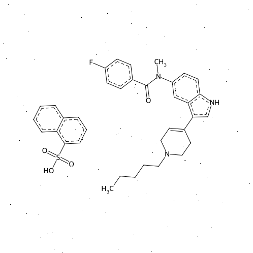 CCCCCN1CC=C(c2c[nH]c3ccc(N(C)C(=O)c4ccc(F)cc4)cc23)CC1.O=S(=O)(O)c1cccc2ccccc12